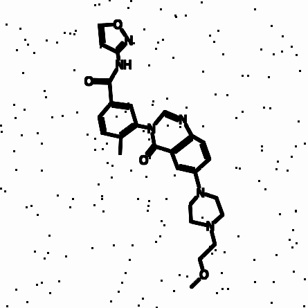 COCCN1CCN(c2ccc3ncn(-c4cc(C(=O)Nc5ccon5)ccc4C)c(=O)c3c2)CC1